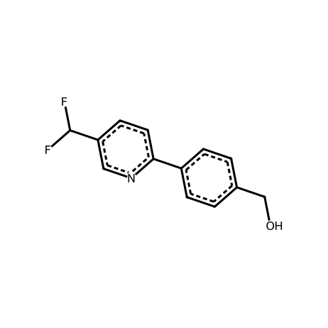 OCc1ccc(-c2ccc(C(F)F)cn2)cc1